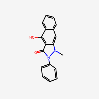 Cn1c2cc3ccccc3c(O)c2c(=O)n1-c1ccccc1